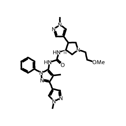 COCCN1CC(c2cnn(C)c2)[C@H](NC(=O)Nc2c(C)c(-c3cnn(C)c3)nn2-c2ccccc2)C1